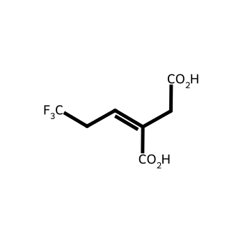 O=C(O)CC(=CCC(F)(F)F)C(=O)O